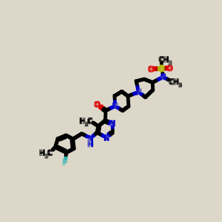 Cc1ccc(CNc2ncnc(C(=O)N3CCC(N4CCC(N(C)S(C)(=O)=O)CC4)CC3)c2C)cc1F